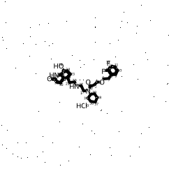 Cl.O=C(CCOCCc1cccc(F)c1F)N(CCNCCc1ccc(O)c2[nH]c(=O)ccc12)C1CCCCC1